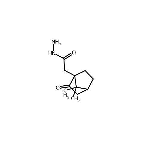 CC1(C)C2CCC1(CC(=O)NN)C(=O)C2